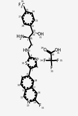 N[C@H](CNc1ncc(-c2ccc3cnc(F)cc3c2)s1)[C@@H](O)c1ccc(C(F)(F)F)cc1.O=C(O)C(F)(F)F